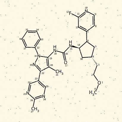 COCC[C@H]1CC(c2ccnc(F)c2)[C@H](NC(=O)Nc2c(C)c(-c3cnc(C)nc3)nn2-c2ccccc2)C1